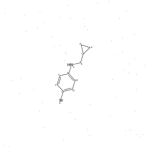 Brc1ccc(NCC2CC2)cc1